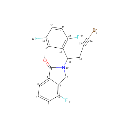 O=C1c2cccc(F)c2CN1C(CC#CBr)c1cc(F)ccc1F